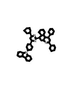 c1ccc(-c2cc(-c3ccc(-n4c5ccccc5c5ccccc54)cc3)nc(-c3cc4nc(-c5ccccc5)cc(-c5ccccc5)c4c4ccccc34)n2)cc1